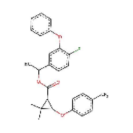 CC1(C)C(Oc2ccc(C(F)(F)F)cc2)C1C(=O)OC(C#N)c1ccc(F)c(Oc2ccccc2)c1